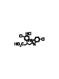 Cl.O=C(O)CC(Cc1nc2cc(Cl)ccc2[nH]1)c1cccc(Cl)c1